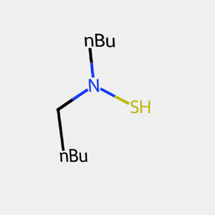 CCCCCN(S)CCCC